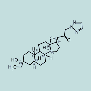 CC[C@@]1(O)CC[C@H]2[C@H](CC[C@@H]3[C@@H]2CC[C@]2(C)[C@@H](CC(=O)Cn4nccn4)CC[C@@H]32)C1